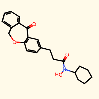 O=C1c2ccccc2COc2ccc(CCC(=O)N(O)C3CCCCC3)cc21